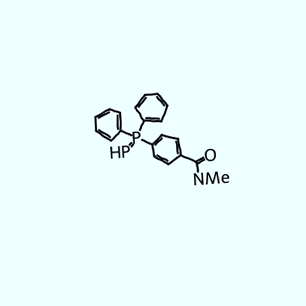 CNC(=O)c1ccc(P(=P)(c2ccccc2)c2ccccc2)cc1